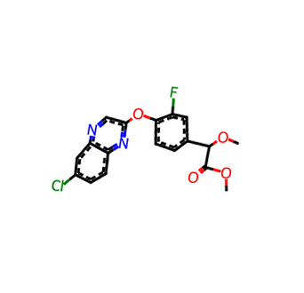 COC(=O)C(OC)c1ccc(Oc2cnc3cc(Cl)ccc3n2)c(F)c1